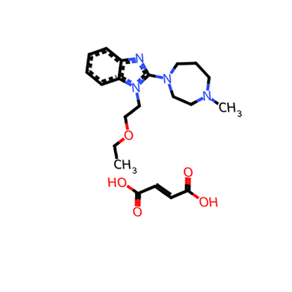 CCOCCn1c(N2CCCN(C)CC2)nc2ccccc21.O=C(O)/C=C/C(=O)O